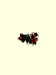 Cc1cc(N2c3ccccc3C(c3ccncc3)(c3ccncc3)c3cc4c(cc32)C(C)(C)c2ccccc2-4)c2cc(C)cc(N3c4ccccc4C(c4ccncc4)(c4ccncc4)c4ccccc43)c2c1